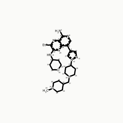 CCc1nc2c(N)ncc(-c3cnn(C4CCN(CC5CCN(C)CC5)CC4)c3)c2nc1NC1CCOCC1